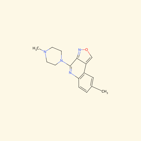 Cc1ccc2nc(N3CCN(C)CC3)c3nocc3c2c1